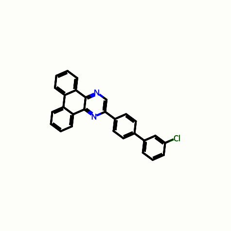 Clc1cccc(-c2ccc(-c3cnc4c5ccccc5c5ccccc5c4n3)cc2)c1